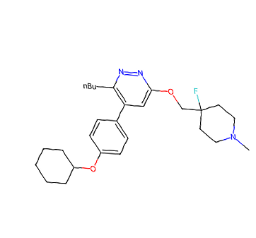 CCCCc1nnc(OCC2(F)CCN(C)CC2)cc1-c1ccc(OC2CCCCC2)cc1